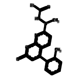 CCC(=O)NN(C)c1ccc2c(-c3ccccc3C)cc(=O)oc2n1